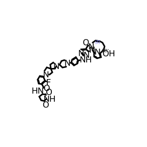 C[C@@]1(O)CC/C=C\Cn2c(=O)c3cnc(Nc4ccc(N5CCC(N6CCC7(CCN(c8cccc(C(=O)NC9CCC(=O)NC9=O)c8F)CC7)C6)CC5)cc4)nc3n2-c2cccc1n2